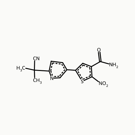 CC(C)(C#N)c1ccc(-c2cc(C(N)=O)c([N+](=O)[O-])s2)cn1